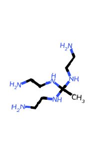 CC(NCCN)(NCCN)NCCN